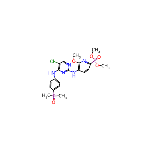 COc1nc(P(=O)(OC)OC)ccc1Nc1ncc(Cl)c(Nc2ccc(P(C)(C)=O)cc2)n1